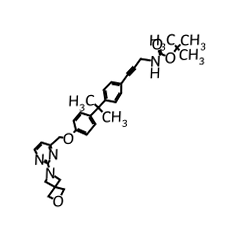 CC(C)(C)OC(=O)NCC#Cc1ccc(C(C)(C)c2ccc(OCc3ccnc(N4CC5(COC5)C4)n3)cc2)cc1